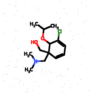 CC(C)OC1C(Cl)=CC=CC1(CO)CN(C)C